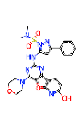 CN(C)S(=O)(=O)n1nc(-c2ccccc2)cc1Nc1nc(N2CCOCC2)c2oc3nc(O)ccc3c2n1